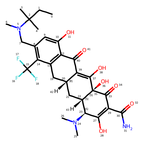 CCC(C)(C)N(C)Cc1cc(O)c2c(c1C(F)(F)F)C[C@H]1C[C@H]3[C@H](N(C)C)C(O)=C(C(N)=O)C(=O)[C@@]3(O)C(O)=C1C2=O